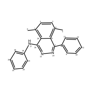 Cc1ccc(C)c2c(-c3ccccc3)nnc(Nc3ccccc3)c12